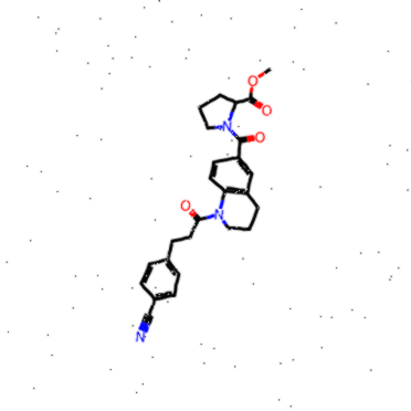 COC(=O)C1CCCN1C(=O)c1ccc2c(c1)CCCN2C(=O)CCc1ccc(C#N)cc1